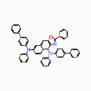 c1ccc(-c2ccc(N(c3ccccc3)c3ccc4c(N(c5ccccc5)c5ccc(-c6ccccc6)cc5)c5nc(-c6ccccc6)oc5cc4c3)cc2)cc1